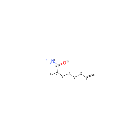 C=CCCCCC(C)C(N)=O